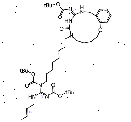 C/C=C/CN/C(=N/C(=O)OC(C)(C)C)N(CCCCCCCCN1CCCCOc2ccccc2CN/C(=N/C(=O)OC(C)(C)C)NC1=O)C(=O)OC(C)(C)C